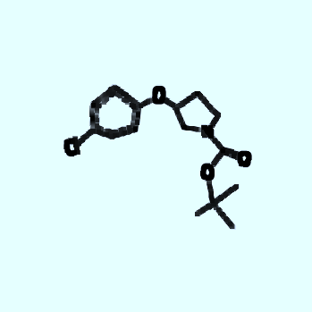 CC(C)(C)OC(=O)N1CCC(Oc2ccc(Cl)cc2)C1